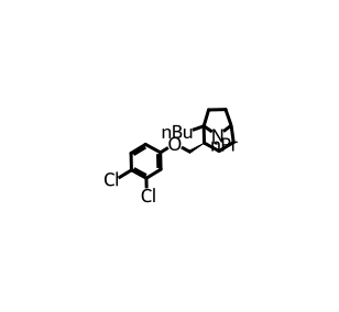 CCCCC12CCC(CC[C@H]1COc1ccc(Cl)c(Cl)c1)N2CCC